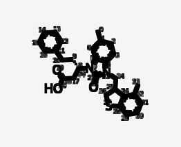 Cc1ccc2c(c1)n([C@@H](CCc1ccccc1)CC(=O)O)c(=O)n2CC1CSc2cccc(C)c21